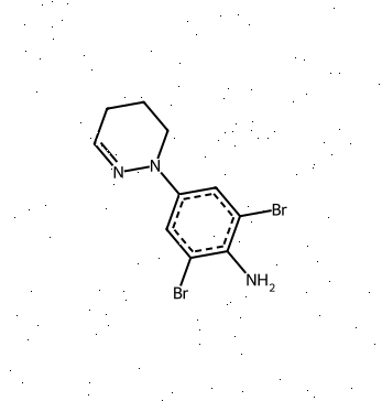 Nc1c(Br)cc(N2CCCC=N2)cc1Br